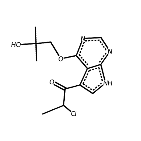 CC(Cl)C(=O)c1c[nH]c2ncnc(OCC(C)(C)O)c12